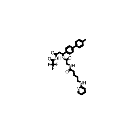 Cc1ccc(-c2ccc(C(CC(=O)OC(=O)C(F)(F)F)NC(=O)CNC(=O)CCCCNc3ccccn3)cc2)cc1